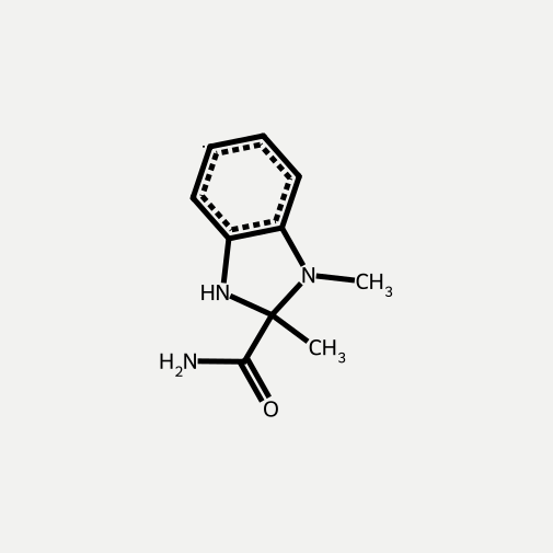 CN1c2cc[c]cc2NC1(C)C(N)=O